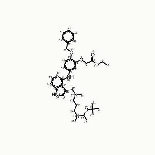 CCOC(=O)COc1cc(Nc2ncnc3[nH]cc(CN(C)CCCN(C)C(C)OC(C)(C)C)c23)ccc1OCc1ccccc1